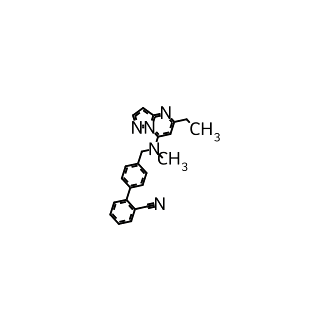 CCc1cc(N(C)Cc2ccc(-c3ccccc3C#N)cc2)n2nccc2n1